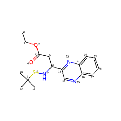 CCOC(=O)CC(NSC(C)(C)C)c1cnc2ccccc2n1